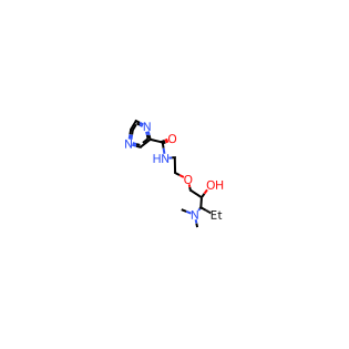 CCC(C(O)COCCNC(=O)c1cnccn1)N(C)C